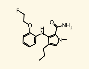 CCCc1cn(C)c(C(N)=O)c1Nc1ccccc1OCCF